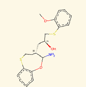 COc1ccccc1SC[C@@H](O)C[C@H]1CSc2ccccc2OC1N